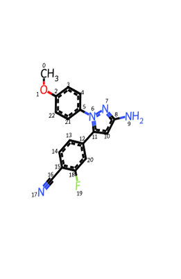 COc1ccc(-n2nc(N)cc2-c2ccc(C#N)c(F)c2)cc1